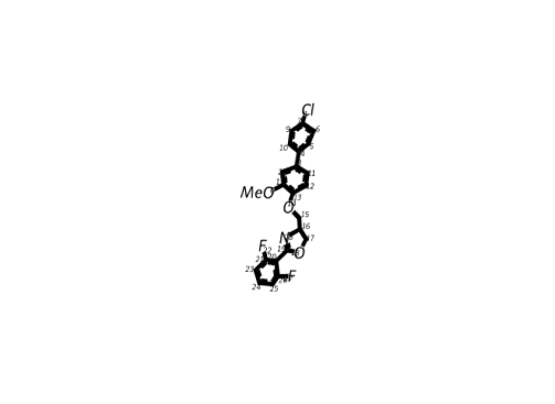 COc1cc(-c2ccc(Cl)cc2)ccc1OCC1COC(c2c(F)cccc2F)=N1